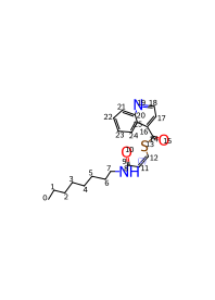 CCCCCCCCNC(=O)/C=C\SC(=O)c1ccnc2ccccc12